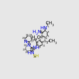 CCNc1ccc(C(CC)c2ccc3c(c2)Cc2cccnc2N2CCCCC2(CNS)N3)c(C)c1N